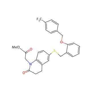 COC(=O)CN1C(=O)CCc2cc(SCc3ccccc3OCc3ccc(C(F)(F)F)cc3)ccc21